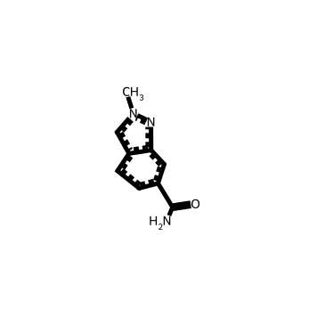 Cn1cc2ccc(C(N)=O)cc2n1